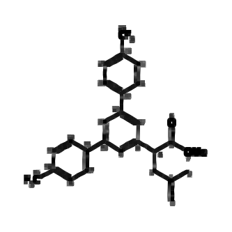 C=C(C)CC(C(=O)OC)c1cc(-c2ccc(C(F)(F)F)cc2)cc(-c2ccc(C(F)(F)F)cc2)c1